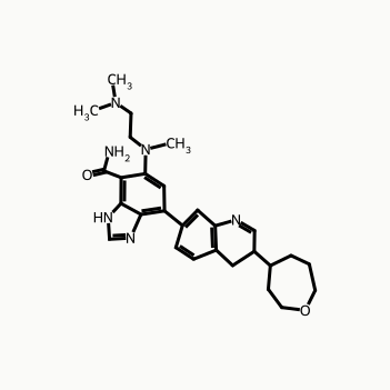 CN(C)CCN(C)c1cc(-c2ccc3c(c2)N=CC(C2CCCOCC2)C3)c2nc[nH]c2c1C(N)=O